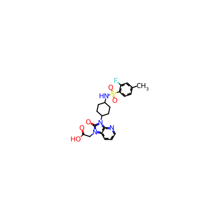 Cc1ccc(S(=O)(=O)NC2CCC(n3c(=O)n(CC(=O)O)c4cccnc43)CC2)c(F)c1